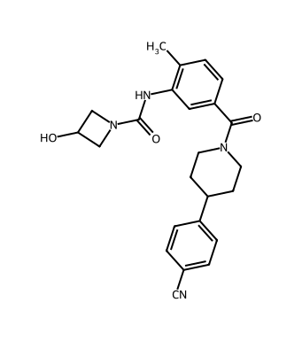 Cc1ccc(C(=O)N2CCC(c3ccc(C#N)cc3)CC2)cc1NC(=O)N1CC(O)C1